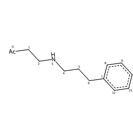 CC(=O)CCNCCCc1ccccc1